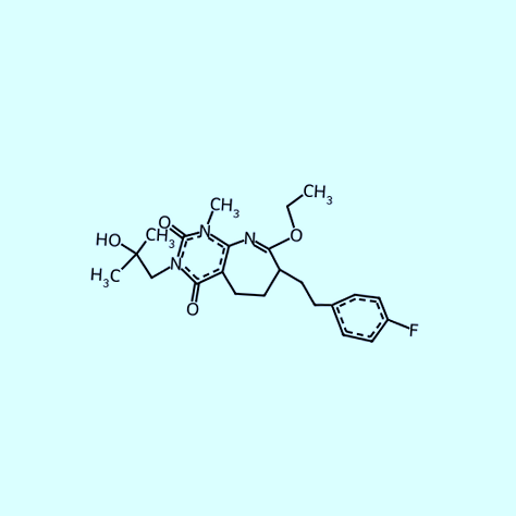 CCOC1=Nc2c(c(=O)n(CC(C)(C)O)c(=O)n2C)CCC1CCc1ccc(F)cc1